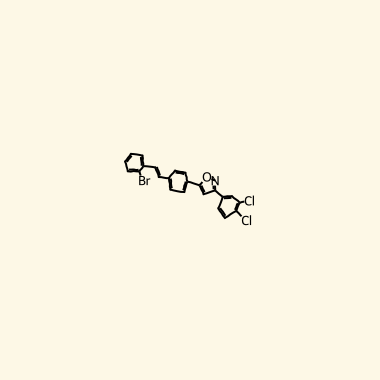 Clc1ccc(-c2cc(-c3ccc(/C=C/c4ccccc4Br)cc3)on2)cc1Cl